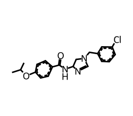 CC(C)Oc1ccc(C(=O)NC2CN(Cc3cccc(Cl)c3)C=N2)cc1